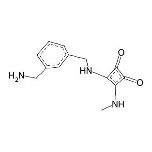 CNc1c(NCc2cccc(CN)c2)c(=O)c1=O